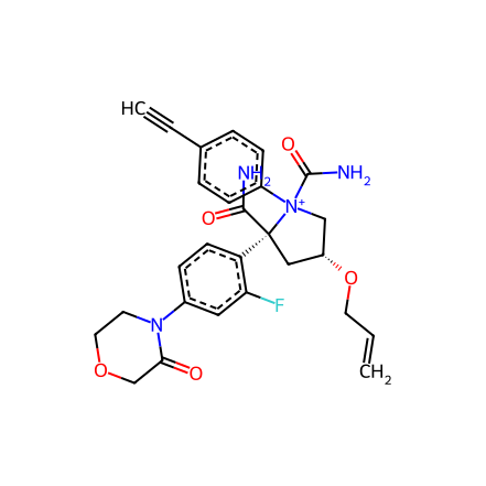 C#Cc1ccc([N+]2(C(N)=O)C[C@H](OCC=C)C[C@]2(C(N)=O)c2ccc(N3CCOCC3=O)cc2F)cc1